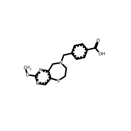 COc1ncc2c(n1)CN(Cc1ccc(C(=O)O)cc1)CCS2